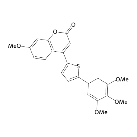 COC1=CC(c2ccc(-c3cc(=O)oc4cc(OC)ccc34)s2)CC(OC)=C1OC